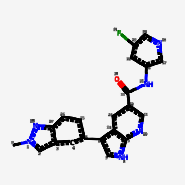 Cn1cc2cc(-c3c[nH]c4ncc(C(=O)Nc5cncc(F)c5)cc34)ccc2n1